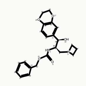 O=C(N[C@H](CN1CCC1)[C@H](O)c1ccc2c(c1)OCCO2)OCc1ccccc1